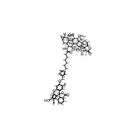 CC(=O)O[C@H]1[C@H]2[C@@H]([C@@H](O)[C@@H](NC(=O)CCCCCCn3cc(COc4cc5c(cc4F)C4(OC(=O)c6ccccc64)c4cc(F)c(O)cc4O5)nn3)C3CC4C[C@@H]4[C@H](O)[C@@]32C)[C@@H]2[C@@H](O)[C@@H]3[C@H]([C@H](C)C=C4OC(=O)[C@@](C)(O)[C@@]43C)[C@@]2(C(C)=O)[C@H]1O